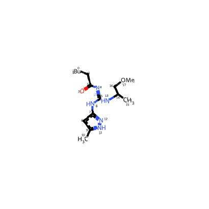 CCC(C)CC(=O)/N=C(\Nc1cc(C)[nH]n1)NC(C)COC